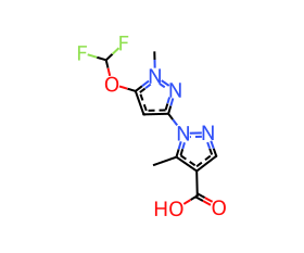 Cc1c(C(=O)O)cnn1-c1cc(OC(F)F)n(C)n1